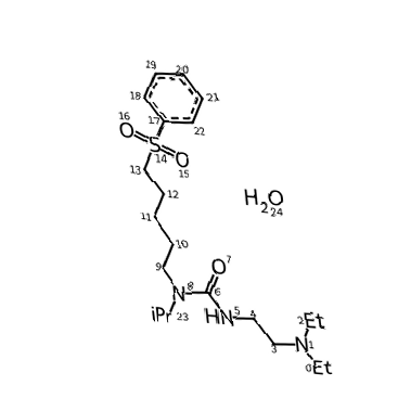 CCN(CC)CCNC(=O)N(CCCCCS(=O)(=O)c1ccccc1)C(C)C.O